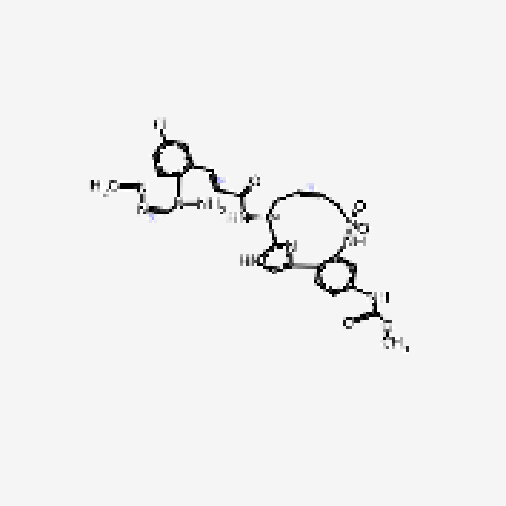 C=N/N=C\N(N)c1ccc(Cl)cc1/C=C/C(=O)N[C@H]1C/C=C\CS(=O)(=O)Nc2cc(NC(=O)OC)ccc2-c2c[nH]c1n2